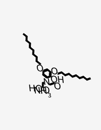 CCCCCCCCCCOc1cc(OCCCCCCCCCC)cc(N(CC(=O)O)CC(=O)O)c1.N